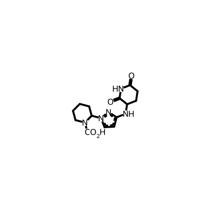 O=C1CCC(Nc2ccn(C3CCCCN3C(=O)O)n2)C(=O)N1